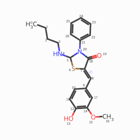 CCCCNC1S/C(=C\c2ccc(O)c(OC)c2)C(=O)N1c1ccccc1